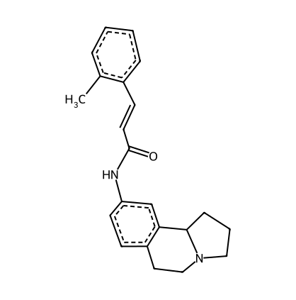 Cc1ccccc1C=CC(=O)Nc1ccc2c(c1)C1CCCN1CC2